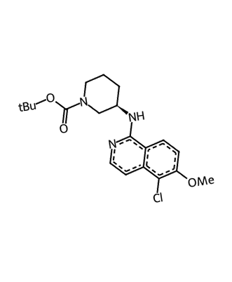 COc1ccc2c(N[C@@H]3CCCN(C(=O)OC(C)(C)C)C3)nccc2c1Cl